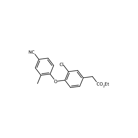 CCOC(=O)Cc1ccc(Oc2ccc(C#N)cc2C)c(Cl)c1